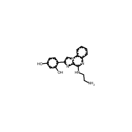 NCCNc1nc2ccccc2n2cc(-c3ccc(O)cc3O)nc12